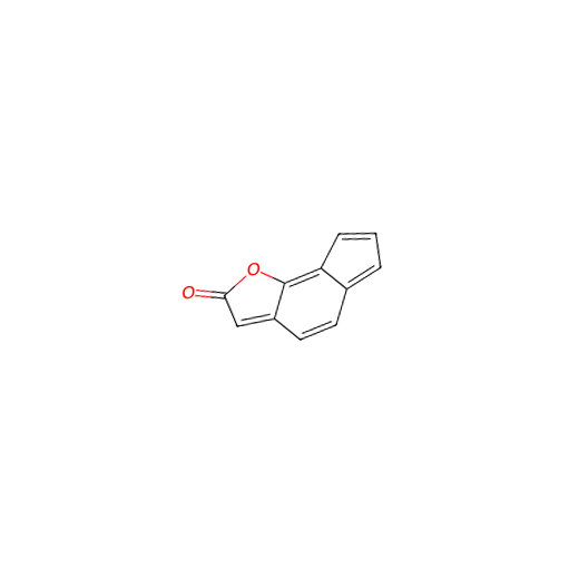 O=C1C=c2ccc3c(c2O1)C=CC=3